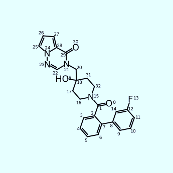 O=C(c1ccccc1-c1cccc(F)c1)N1CCC(O)(Cn2cnn3cccc3c2=O)CC1